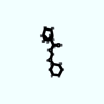 O=C(OCOC1CCCCC1)C1CC2C=CC1O2